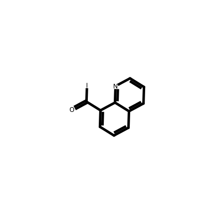 O=C(I)c1cccc2cccnc12